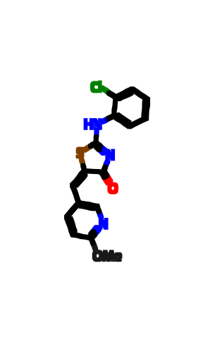 COc1ccc(C=C2SC(Nc3ccccc3Cl)=NC2=O)cn1